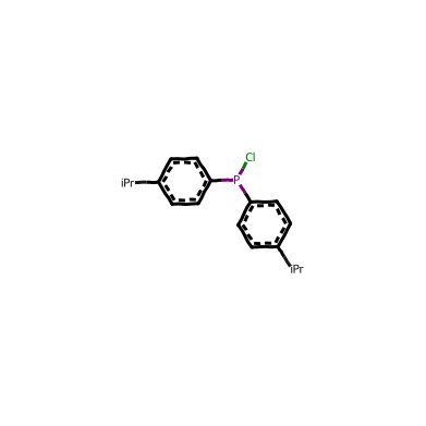 CC(C)c1ccc(P(Cl)c2ccc(C(C)C)cc2)cc1